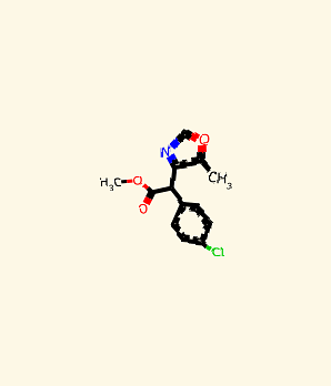 COC(=O)C(c1ccc(Cl)cc1)c1ncoc1C